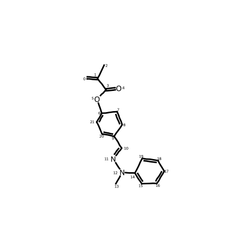 C=C(C)C(=O)Oc1ccc(C=NN(C)c2ccccc2)cc1